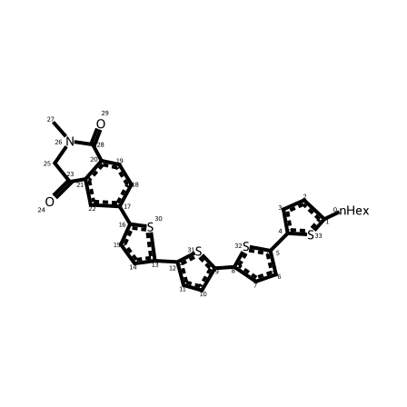 CCCCCCc1ccc(-c2ccc(-c3ccc(-c4ccc(-c5ccc6c(c5)C(=O)CN(C)C6=O)s4)s3)s2)s1